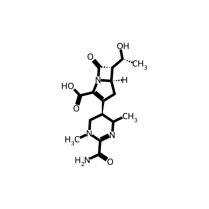 CC1N=C(C(N)=O)N(C)C[C@H]1C1=C(C(=O)O)N2C(=O)[C@H]([C@@H](C)O)[C@H]2C1